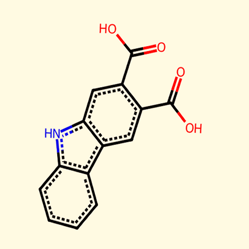 O=C(O)c1cc2[nH]c3ccccc3c2cc1C(=O)O